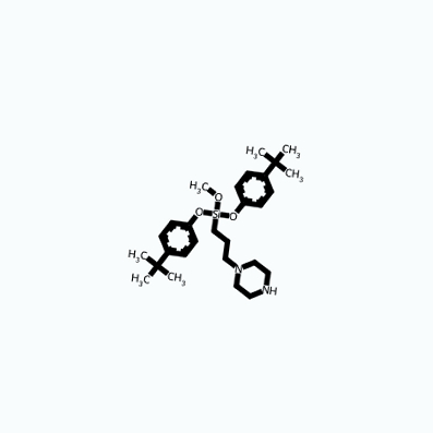 CO[Si](CCCN1CCNCC1)(Oc1ccc(C(C)(C)C)cc1)Oc1ccc(C(C)(C)C)cc1